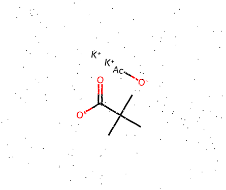 CC(=O)[O-].CC(C)(C)C(=O)[O-].[K+].[K+]